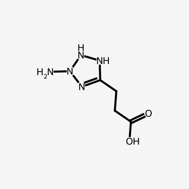 NN1N=C(CCC(=O)O)NN1